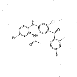 CC(=O)Nc1cc(Br)ccc1Nc1ccc(C(=O)c2ccc(F)cc2C)c(Cl)c1